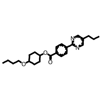 CCCCOC1CCC(OC(=O)c2ccc(-c3ncc(CCC)cn3)cc2)CC1